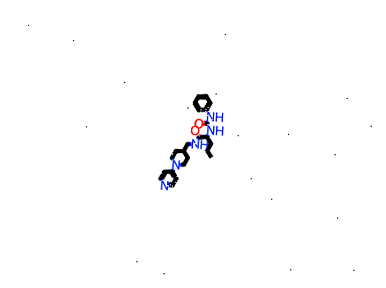 CCCC(NC(=O)Nc1ccccc1)C(=O)NCC1CCN(c2ccncc2)CC1